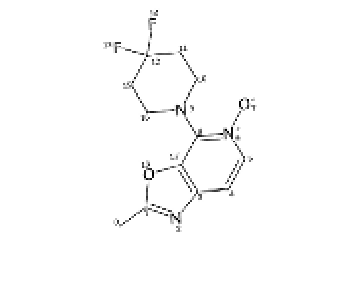 Cc1nc2cc[n+]([O-])c(N3CCC(F)(F)CC3)c2o1